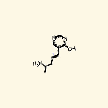 CC(N)C/C=C/c1cncnc1O